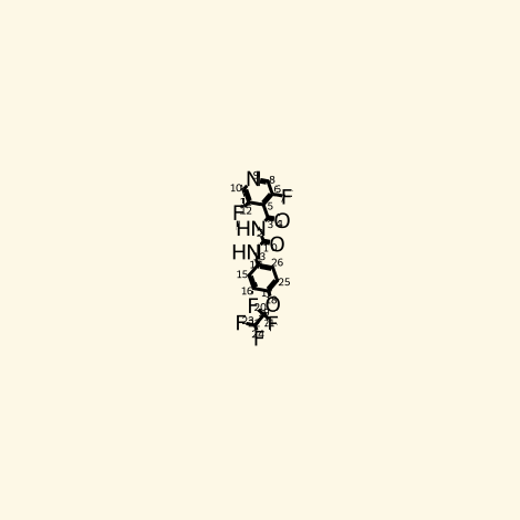 O=C(NC(=O)c1c(F)cncc1F)Nc1ccc(OC(F)(F)C(F)F)cc1